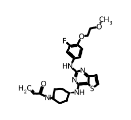 C=CC(=O)N[C@H]1CC[C@@H](Nc2nc(Nc3ccc(OCCOC)c(F)c3)nc3ccsc23)CC1